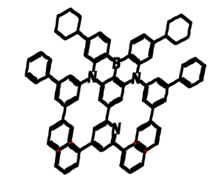 c1ccc(-c2cc(-c3ccccc3)cc(N3c4cc(C5CCCCC5)ccc4B4c5ccc(C6CCCCC6)cc5N(c5cc(-c6ccccc6)cc(-c6ccccc6)c5)c5cc(-c6cc(-c7ccccc7)cc(-c7ccccc7)n6)cc3c54)c2)cc1